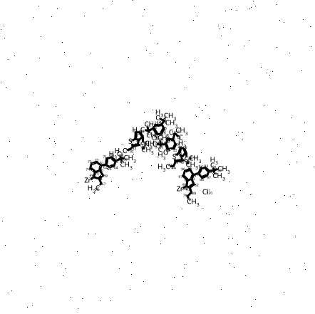 CC(C)(C)c1ccc([O-])c(C(C)(C)C)c1.CC(C)(C)c1ccc([O-])c(C(C)(C)C)c1.CCC1=C2C3C(=CC=C3[Si]2(C)C)S1.CCC1=C2C3C(=CC=C3[Si]2(C)C)S1.CCC1=Cc2c(-c3ccc(C(C)(C)C)cc3)cccc2[CH]1[Zr].CCCC1=Cc2c(-c3ccc(C(C)(C)C)cc3)cccc2[CH]1[Zr].[Cl-]